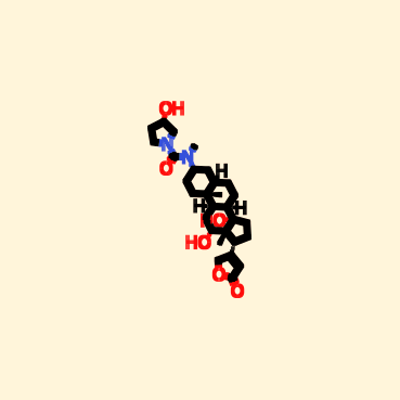 CN(C(=O)N1CC[C@@H](O)C1)[C@@H]1CC[C@]2(C)[C@H](CC[C@@H]3[C@H]2C[C@@H](O)[C@@]2(C)[C@@H](C4=CC(=O)OC4)CC[C@@]32O)C1